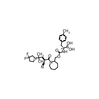 Cc1ccc(C[C@H](NC(=O)OCC2CCCCCN2C(=O)C(C#N)=CC(C)(C)N2CCC(F)(F)C2)B(O)O)cc1